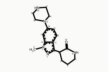 Cn1nc(C2CCCNC2=O)c2ccc(N3CCNCC3)cc21